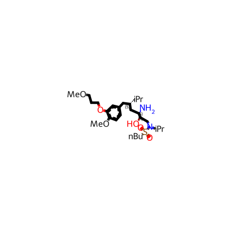 CCCCS(=O)(=O)N(C[C@@H](O)[C@@H](N)C[C@H](Cc1ccc(OC)c(OCCCOC)c1)C(C)C)C(C)C